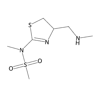 CNCC1CSC(N(C)S(C)(=O)=O)=N1